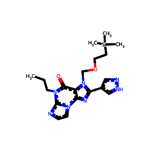 CCCn1c(=O)c2c(nc(-c3cn[nH]c3)n2COCC[Si](C)(C)C)n2ccnc12